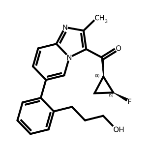 Cc1nc2ccc(-c3ccccc3CCCO)cn2c1C(=O)[C@@H]1C[C@@H]1F